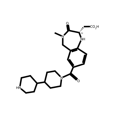 CN1Cc2cc(C(=O)N3CCC(C4CCNCC4)CC3)ccc2N[C@@H](CC(=O)O)C1=O